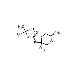 B[C@@]1(NC(=O)OC(C)(C)C)CC[C@@H](C)OC1